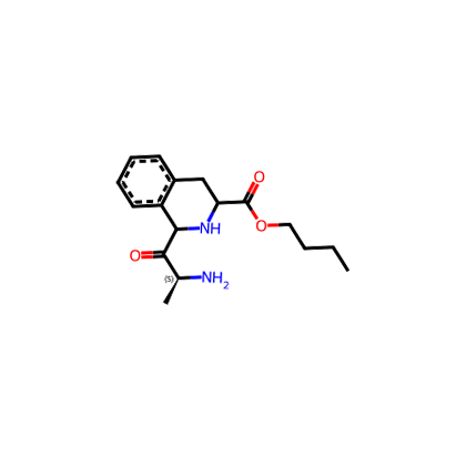 CCCCOC(=O)C1Cc2ccccc2C(C(=O)[C@H](C)N)N1